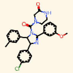 COc1cccc(C2=NC(c3ccc(Cl)cc3)C(c3cccc(C)c3)N2C(=O)N2CCNC(=O)C2)c1